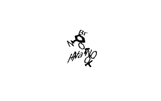 CC(C)(C)OC(=O)N1CC(Oc2ccc(Br)cc2C#N)C1.[H-].[Na+]